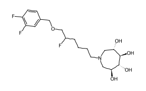 O[C@H]1[C@H](O)[C@@H](O)CN(CCCCC(F)COCc2ccc(F)c(F)c2)C[C@@H]1O